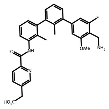 COc1cc(-c2cccc(-c3cccc(NC(=O)c4ccc(CC(=O)O)cn4)c3C)c2C)cc(F)c1CN